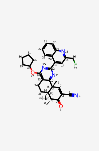 C[C@H]1C(=O)C(C#N)=C[C@@]2(C)c3nc(-c4cc(CF)nc5ccccc45)nc(OC4CCCC4)c3CC[C@H]12